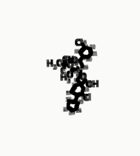 CC(C)(C)OC(=O)N(CCC1(C(=O)O)C=CC(c2ccccc2)=C(Cl)C1)C[C@H](O)c1cccc(Cl)c1